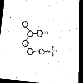 CC(C)c1ccccc1.Clc1ccc(-c2cc(-c3ccccc3)[s+]c(-c3ccccc3)c2)cc1.F[B-](F)(F)F.[Fe][C]1=CC=CC1